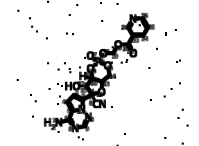 N#C[C@@]1(c2ccc3c(N)ncnn23)OC2CO[P@@](=O)(OCOC(=O)c3cccnc3)O[C@H]2[C@H]1O